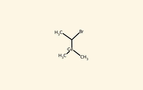 C[CH](Br)[Ge]([CH3])[CH3]